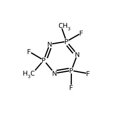 CP1(F)=NP(C)(F)=NP(F)(F)=N1